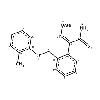 CON=C(C(N)=S)c1ccccc1COc1ccccc1C